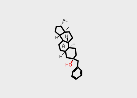 CC(=O)[C@H]1CC[C@H]2[C@@H]3CC[C@@H]4C[C@@](O)(Cc5ccccc5)CC[C@]4(C)[C@H]3CC[C@]12C